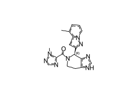 Cc1cccn2nc([C@H]3c4nc[nH]c4CCN3C(=O)c3ncnn3C)cc12